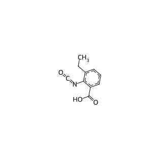 CCc1cccc(C(=O)O)c1N=C=O